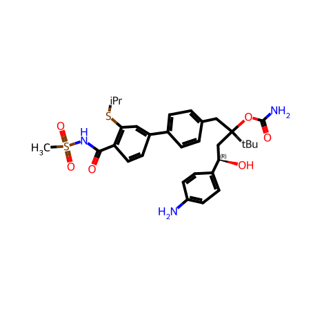 CC(C)Sc1cc(-c2ccc(CC(C[C@@H](O)c3ccc(N)cc3)(OC(N)=O)C(C)(C)C)cc2)ccc1C(=O)NS(C)(=O)=O